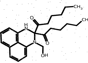 CCCCCC(=O)C1(C(=O)CCCCC)Nc2cccc3cccc(c23)N1CO